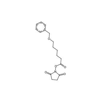 O=C(CCCCCOCc1ccccc1)ON1C(=O)CCC1=O